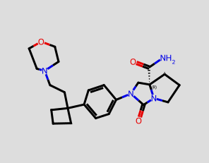 NC(=O)[C@]12[CH]CCN1C(=O)N(c1ccc(C3(CCN4CCOCC4)CCC3)cc1)C2